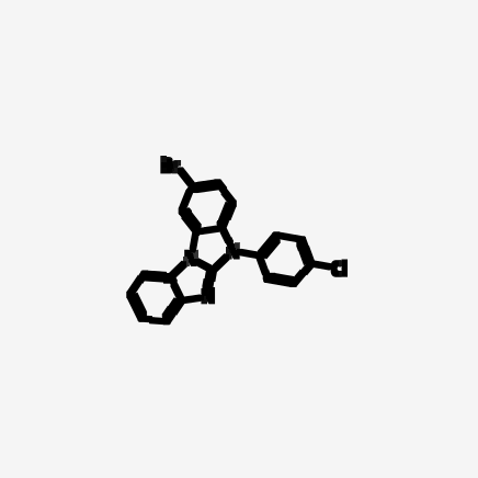 Clc1ccc(-n2c3ccc(Br)cc3n3c4ccccc4nc23)cc1